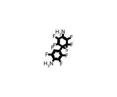 NC1=C(F)C2(F)SC2(c2c(F)c(F)c(N)c(F)c2F)C(F)=C1F